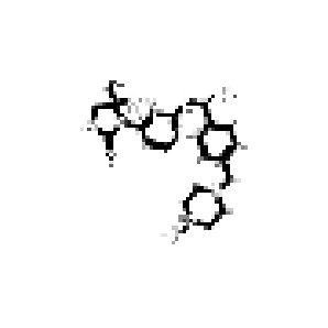 CC(C)C1(C)COC(=O)N1c1ccnc(N[C@@H](C)c2ccc(CN3CCN(C)CC3)cc2)n1